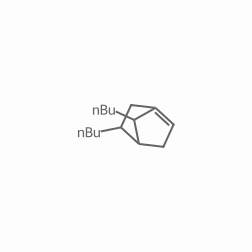 CCCCC1CC2=CCC1C2CCCC